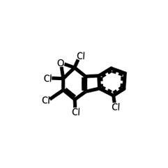 ClC1=C(Cl)C2(Cl)OC2(Cl)C2=C1c1c(Cl)cccc12